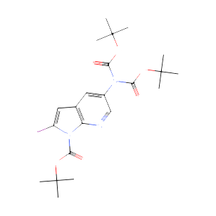 CC(C)(C)OC(=O)N(C(=O)OC(C)(C)C)c1cnc2c(c1)cc(I)n2C(=O)OC(C)(C)C